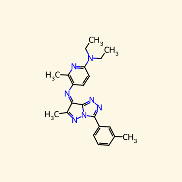 CCN(CC)c1ccc(/N=C2/C(C)=Nn3c2nnc3-c2cccc(C)c2)c(C)n1